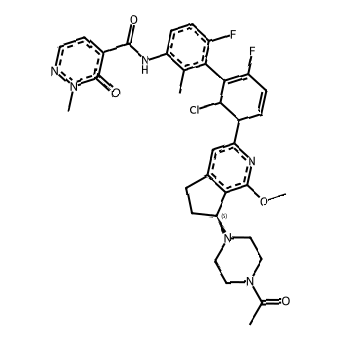 COc1nc(C2C=CC(F)=C(c3c(F)ccc(NC(=O)c4ccnn(C)c4=O)c3C)C2Cl)cc2c1[C@@H](N1CCN(C(C)=O)CC1)CC2